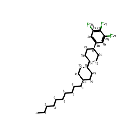 CCCCCCCCCC[C@H]1CC[C@H]([C@H]2CC[C@H](c3cc(F)c(F)c(F)c3)CC2)CC1